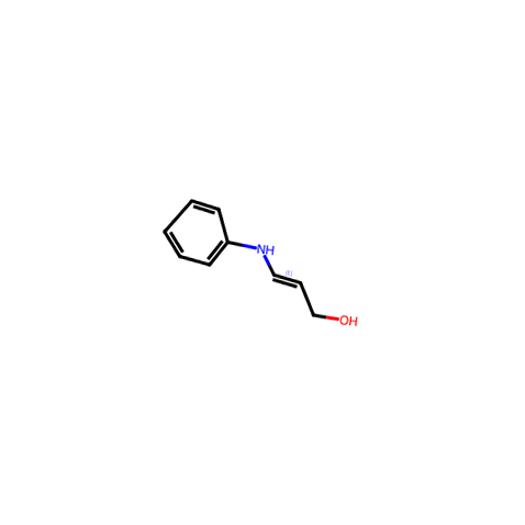 OC/C=C/Nc1ccccc1